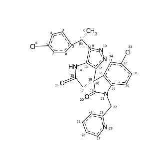 C[C@@H](c1ccc(Cl)cc1)n1nnc2c1NC(=O)C[C@]21C(=O)N(Cc2ccccn2)c2ccc(Cl)cc21